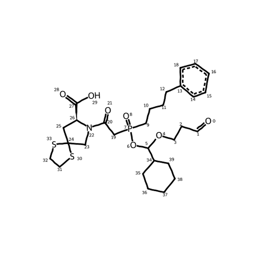 O=CCCOC(OP(=O)(CCCCc1ccccc1)CC(=O)N1CC2(C[C@H]1C(=O)O)SCCS2)C1CCCCC1